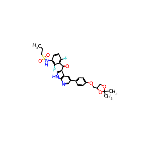 CCCS(=O)(=O)Nc1ccc(F)c(C(=O)c2c[nH]c3ncc(-c4ccc(OCC5COC(C)(C)O5)cc4)cc23)c1F